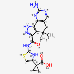 CC1(C)Cc2cnc(N)nc2-c2[nH]nc(C(=O)NC3NC(C4(C(=O)O)CC4)=CS3)c21